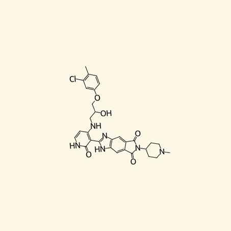 Cc1ccc(OCC(O)CNc2cc[nH]c(=O)c2-c2nc3cc4c(cc3[nH]2)C(=O)N(C2CCN(C)CC2)C4=O)cc1Cl